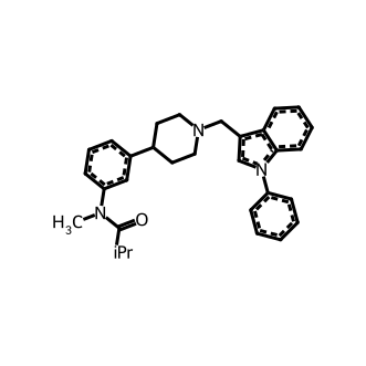 CC(C)C(=O)N(C)c1cccc(C2CCN(Cc3cn(-c4ccccc4)c4ccccc34)CC2)c1